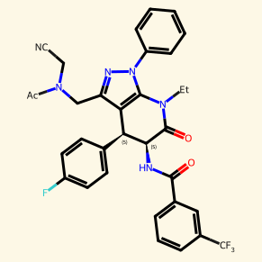 CCN1C(=O)[C@@H](NC(=O)c2cccc(C(F)(F)F)c2)[C@@H](c2ccc(F)cc2)c2c(CN(CC#N)C(C)=O)nn(-c3ccccc3)c21